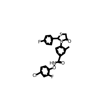 Cc1cc(C(=O)NOc2ccc(Cl)cc2F)ccc1N1C(=O)CSC1c1ccc(F)cc1